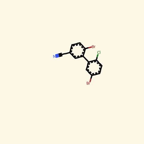 N#Cc1c[c]c(Br)c(-c2cc(Br)ccc2Cl)c1